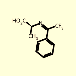 C[C@H](/N=C(\c1ccccc1)C(F)(F)F)C(=O)O